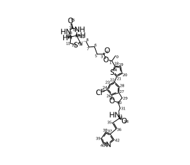 CC(OC(=O)CCCC[C@@H]1SC[C@@H]2NC(=O)N[C@@H]21)c1ccc(-c2cc(Cl)c3c(c2)CC(CNC(=O)C=Cc2cccnc2)O3)s1